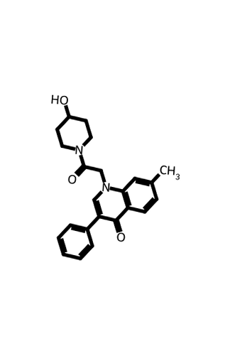 Cc1ccc2c(=O)c(-c3ccccc3)cn(CC(=O)N3CCC(O)CC3)c2c1